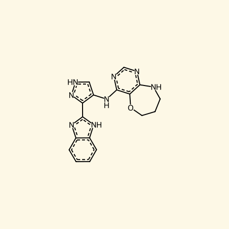 c1ccc2[nH]c(-c3n[nH]cc3Nc3ncnc4c3OCCCN4)nc2c1